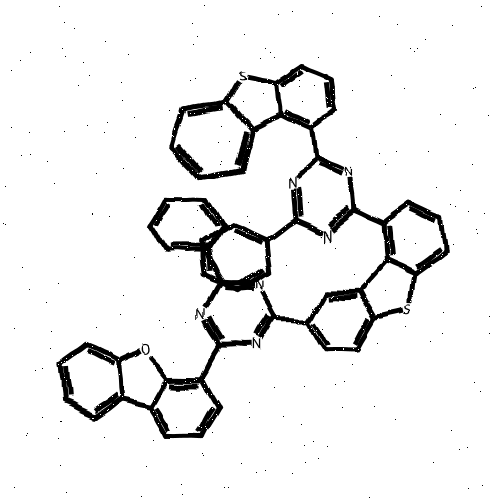 c1ccc(-c2nc(-c3ccc4sc5cccc(-c6nc(-c7ccccc7)nc(-c7cccc8sc9ccccc9c78)n6)c5c4c3)nc(-c3cccc4c3oc3ccccc34)n2)cc1